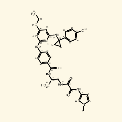 Cn1ccc(NC(=O)C(=O)NC[C@H](NC(=O)c2ccc(Nc3nc(NC4(c5ccc(Cl)cc5)CC4)nc(OCC(F)(F)F)n3)cc2)C(=O)O)n1